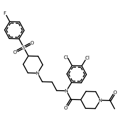 CC(=O)N1CCC(C(=O)N(CCCN2CCC(S(=O)(=O)c3ccc(F)cc3)CC2)c2ccc(Cl)c(Cl)c2)CC1